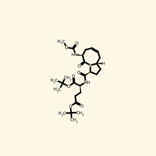 COC(=O)N[C@H]1C/C=C\C[C@@H]2CC[C@@H](C(=O)N[C@@H](CCC(=O)OC(C)(C)C)C(=O)OC(C)(C)C)N2C1=O